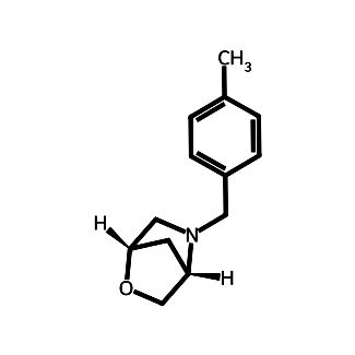 Cc1ccc(CN2C[C@@H]3C[C@H]2CO3)cc1